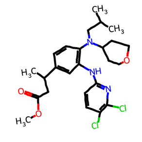 COC(=O)CC(C)c1ccc(N(CC(C)C)C2CCOCC2)c(Nc2ccc(Cl)c(Cl)n2)c1